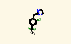 CC(F)(F)c1ccc(CC2=NCCN2)c(Cl)c1